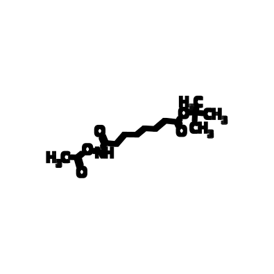 CC(=O)ONC(=O)CCCCCCC(=O)OC(C)(C)C